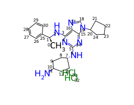 C[C@H](Nc1nc(N[C@H]2CC[C@H](N)CC2)nc2c1ncn2C1CCCC1)c1ccccc1.Cl.Cl